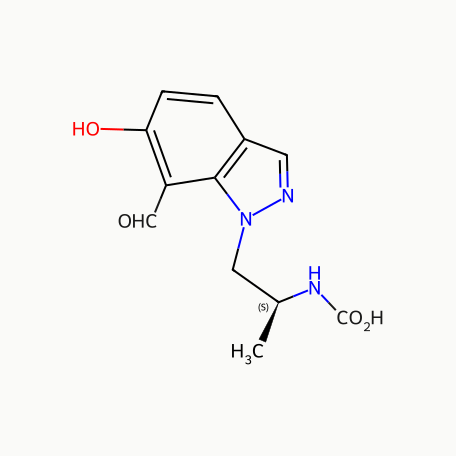 C[C@@H](Cn1ncc2ccc(O)c(C=O)c21)NC(=O)O